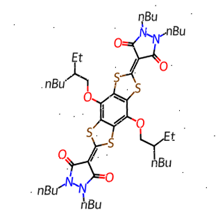 CCCCC(CC)COc1c2c(c(OCC(CC)CCCC)c3c1SC(=C1C(=O)N(CCCC)N(CCCC)C1=O)S3)SC(=C1C(=O)N(CCCC)N(CCCC)C1=O)S2